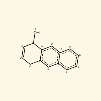 OC1C=CCc2cc3ccccc3cc21